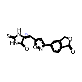 O=C1NC(=S)N/C1=C/c1cc(-c2ccc3c(c2)COC3=O)no1